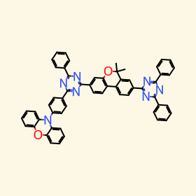 CC1(C)Oc2cc(-c3nc(-c4ccccc4)nc(-c4ccc(N5c6ccccc6Oc6ccccc65)cc4)n3)ccc2-c2ccc(-c3nc(-c4ccccc4)nc(-c4ccccc4)n3)cc21